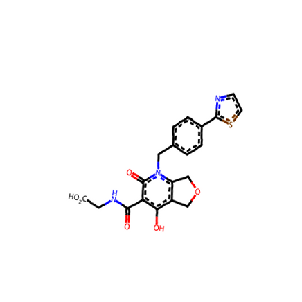 O=C(O)CNC(=O)c1c(O)c2c(n(Cc3ccc(-c4nccs4)cc3)c1=O)COC2